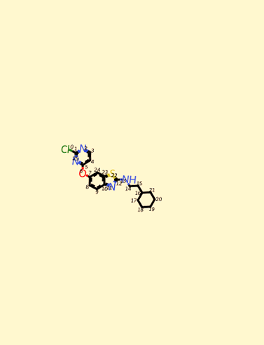 Clc1nccc(Oc2ccc3nc(NCCC4CCCCC4)sc3c2)n1